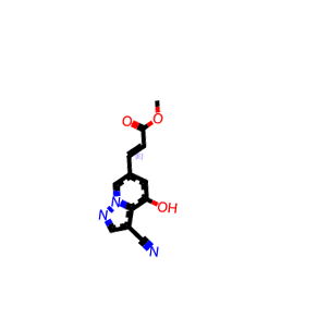 COC(=O)/C=C/c1cc(O)c2c(C#N)cnn2c1